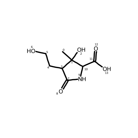 CC1(O)C(CCO)C(=O)NC1C(=O)O